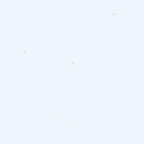 CC(C)COc1cc(F)cc(-c2ccc(C(N)=O)c(OCC3CC3(F)F)n2)c1